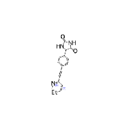 CC/C=C\C(C#Cc1ccc(C2NC(=O)NC2=O)cc1)=N/C